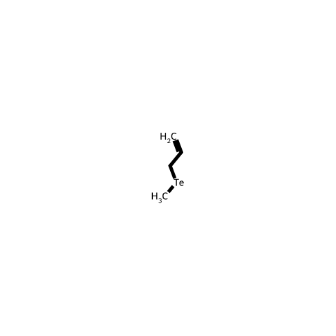 C=CC[Te]C